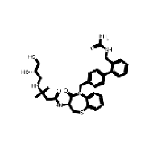 CC(C)(CC(=O)N[C@@H]1CSc2ccccc2N(Cc2ccc(-c3ccccc3CNC(N)=O)cc2)C1=O)NC[C@H](O)CO